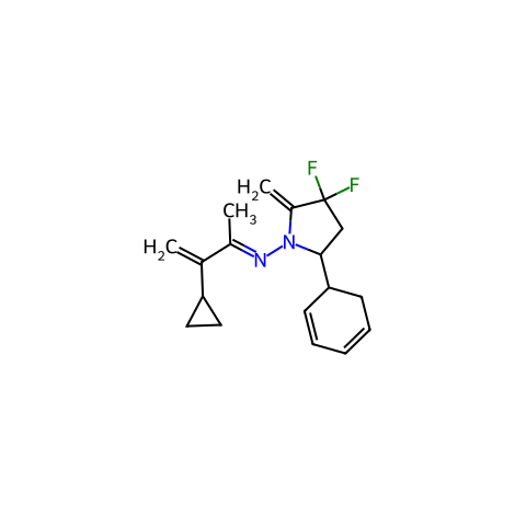 C=C(/C(C)=N/N1C(=C)C(F)(F)CC1C1C=CC=CC1)C1CC1